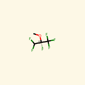 CO[C@](F)(C(F)F)C(F)(F)F